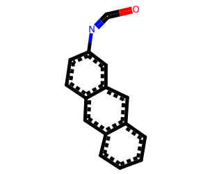 O=C=Nc1ccc2cc3ccccc3cc2c1